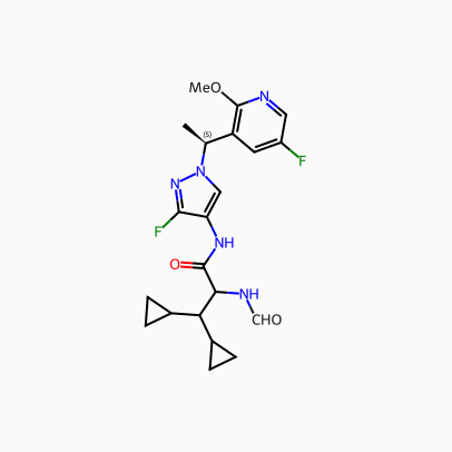 COc1ncc(F)cc1[C@H](C)n1cc(NC(=O)C(NC=O)C(C2CC2)C2CC2)c(F)n1